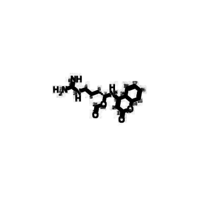 N=C(N)NCCC[C@H](NC1=CC(=O)OC2C=CC=CC12)OC=O